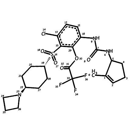 CC1=CCCC1NC(=O)Nc1ccc(Cl)c(S(=O)(=O)[C@H]2CC[C@H](N3CCC3)CC2)c1OC(=O)C(F)(F)F